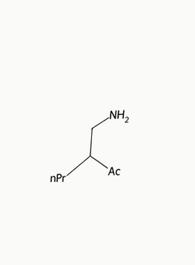 CCCC(CN)C(C)=O